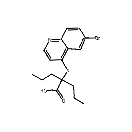 CCCC(CCC)(Sc1ccnc2ccc(Br)cc12)C(=O)O